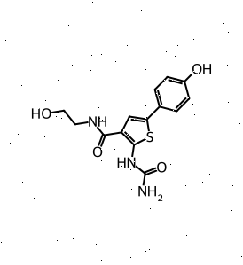 NC(=O)Nc1sc(-c2ccc(O)cc2)cc1C(=O)NCCO